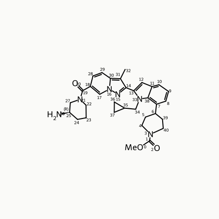 COC(=O)N1CCC(c2cccc3cc(-c4nn5cc(C(=O)N6CCC[C@@H](N)C6)ccc5c4C)n(CC4CC4)c23)CC1